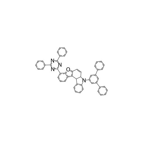 C1=CC2C(c3ccccc3N2c2cc(-c3ccccc3)cc(-c3ccccc3)c2)c2c1oc1c(-c3nc(-c4ccccc4)nc(-c4ccccc4)n3)cccc21